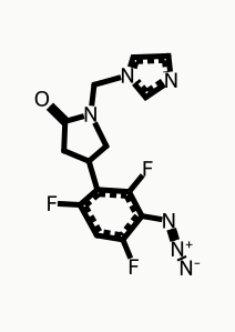 [N-]=[N+]=Nc1c(F)cc(F)c(C2CC(=O)N(Cn3ccnc3)C2)c1F